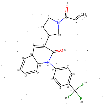 C=CC(=O)N1CCC(C2=CC3C=CC=CC3N(c3ccc(C(F)(F)F)cc3)C2=O)C1